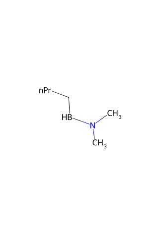 CCCCBN(C)C